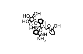 N=C(N)c1cccc(NC(C(=O)NCC(=O)N2CCCCC2CO)c2ccccc2OC2OC(CO)C(O)C(O)C2O)c1